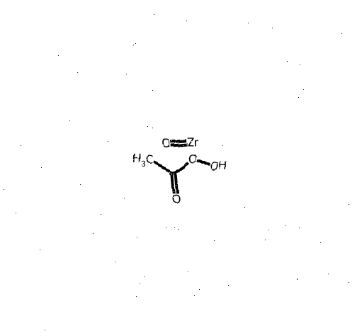 CC(=O)OO.[O]=[Zr]